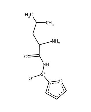 CC(C)CC(N)C(=O)N[S+]([O-])c1ccco1